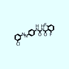 O=C(NC(=O)c1c(F)cccc1F)Nc1ccc(N=Nc2cccc(Cl)c2)cc1